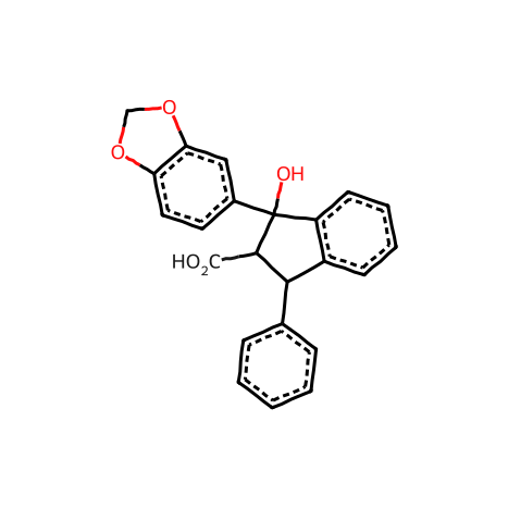 O=C(O)C1C(c2ccccc2)c2ccccc2C1(O)c1ccc2c(c1)OCO2